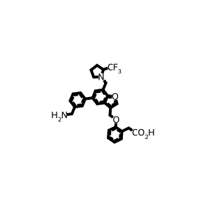 NCc1cccc(-c2cc(CN3CCCC3C(F)(F)F)c3occ(COc4ccccc4CC(=O)O)c3c2)c1